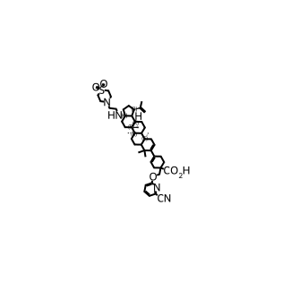 C=C(C)[C@@H]1CC[C@]2(NCCN3CCS(=O)(=O)CC3)CC[C@]3(C)[C@H](CCC4[C@@]5(C)CC=C(C6=CCC(COc7cccc(C#N)n7)(C(=O)O)CC6)C(C)(C)C5CC[C@]43C)C12